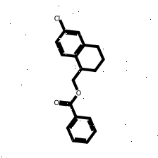 O=C(OCC1CCCc2cc(Cl)ccc21)c1ccccc1